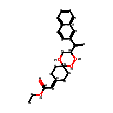 C=C(c1ccc2ccccc2c1)C1COC2(CCC(=CC(=O)OCC)CC2)OO1